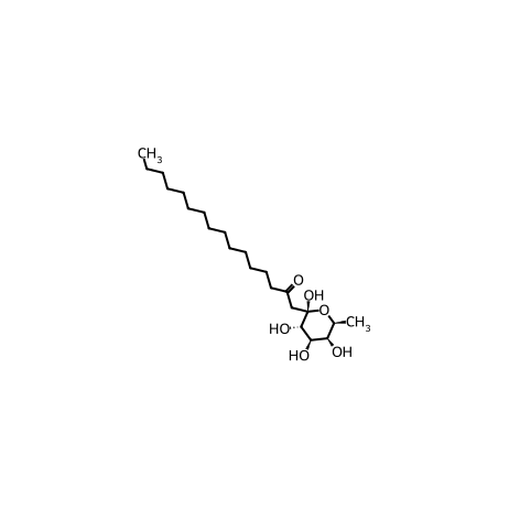 CCCCCCCCCCCCCCC(=O)C[C@]1(O)O[C@@H](C)[C@@H](O)[C@@H](O)[C@@H]1O